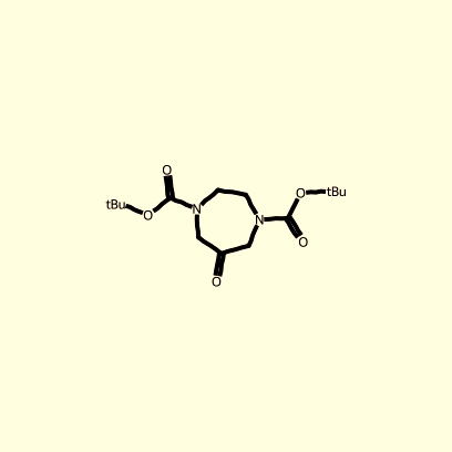 CC(C)(C)OC(=O)N1CCN(C(=O)OC(C)(C)C)CC(=O)C1